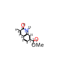 COC(=O)c1ccc2cc(C)c(=O)n(C)c2c1